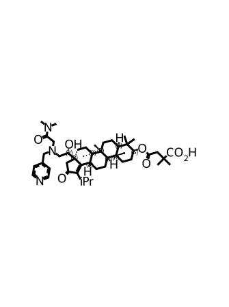 CC(C)C1=C2[C@H]3CC[C@@H]4[C@@]5(C)CC[C@H](OC(=O)CC(C)(C)C(=O)O)C(C)(C)[C@@H]5CC[C@@]4(C)[C@]3(C)CC[C@@]2([C@@H](O)CN(CC(=O)N(C)C)Cc2ccncc2)CC1=O